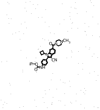 CC(C)OC(=O)Nc1ccc(-c2c(C#N)c3ccc(C(=O)N4CCN(C)CC4)cc3n2C2CCC2)cc1